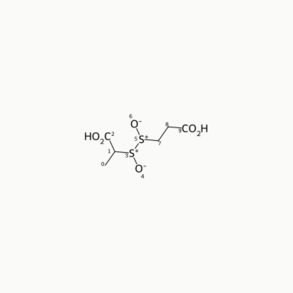 CC(C(=O)O)[S+]([O-])[S+]([O-])CCC(=O)O